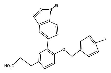 CCn1ncc2cc(-c3cc(CCC(=O)O)ccc3OCc3ccc(F)cc3)ccc21